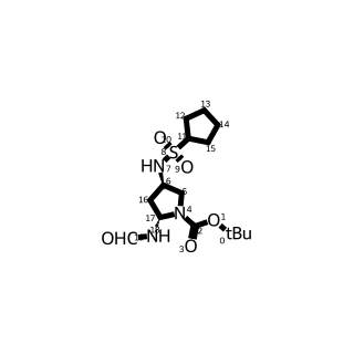 CC(C)(C)OC(=O)N1C[C@H](NS(=O)(=O)C2CCCC2)C[C@H]1NC=O